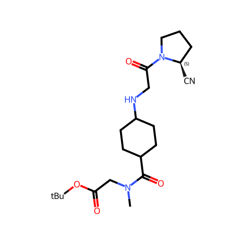 CN(CC(=O)OC(C)(C)C)C(=O)C1CCC(NCC(=O)N2CCC[C@H]2C#N)CC1